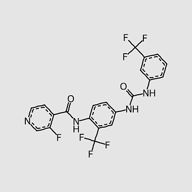 O=C(Nc1cccc(C(F)(F)F)c1)Nc1ccc(NC(=O)c2ccncc2F)c(C(F)(F)F)c1